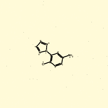 Nc1ccc(Cl)c(-n2nccn2)c1